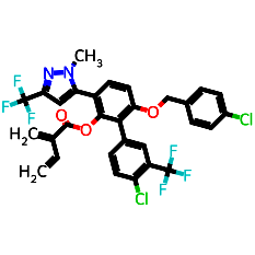 C=CC(=C)C(=O)Oc1c(-c2cc(C(F)(F)F)nn2C)ccc(OCc2ccc(Cl)cc2)c1-c1ccc(Cl)c(C(F)(F)F)c1